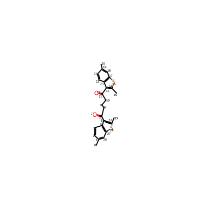 Cc1ccc2c(C(=O)CCCC(=O)c3c(C)sc4cc(C)ccc34)c(C)sc2c1